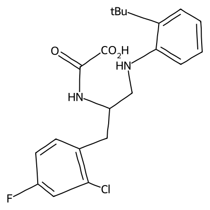 CC(C)(C)c1ccccc1NCC(Cc1ccc(F)cc1Cl)NC(=O)C(=O)O